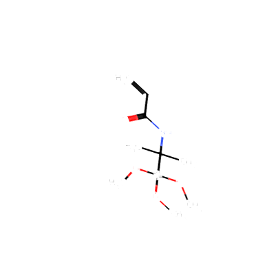 [CH2]C(C)(NC(=O)C=C)[Si](OC)(OC)OC